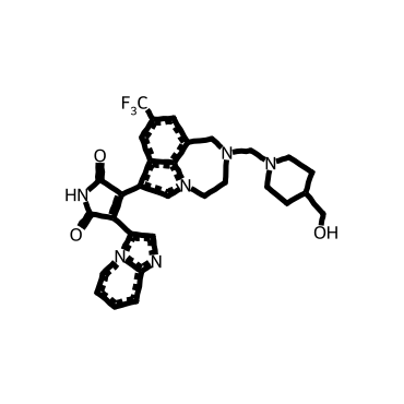 O=C1NC(=O)C(c2cnc3ccccn23)=C1c1cn2c3c(cc(C(F)(F)F)cc13)CN(CN1CCC(CO)CC1)CC2